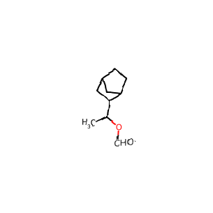 CC(O[C]=O)C1CC2CCC1C2